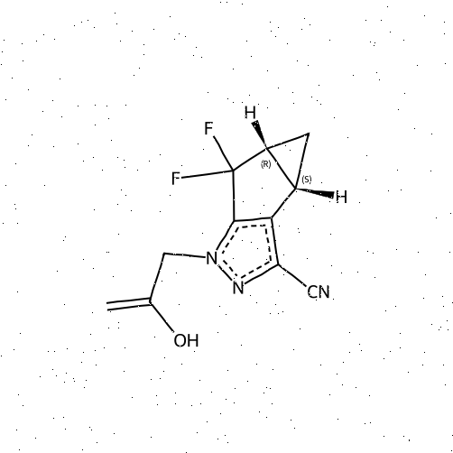 C=C(O)Cn1nc(C#N)c2c1C(F)(F)[C@@H]1C[C@H]21